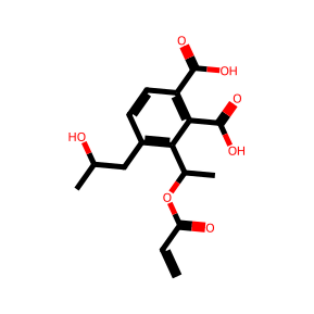 C=CC(=O)OC(C)c1c(CC(C)O)ccc(C(=O)O)c1C(=O)O